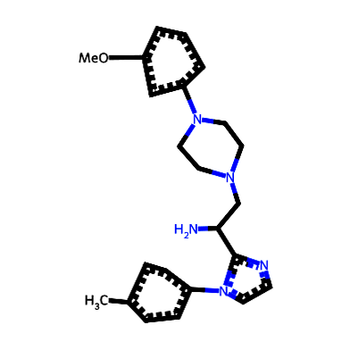 COc1cccc(N2CCN(CC(N)c3nccn3-c3ccc(C)cc3)CC2)c1